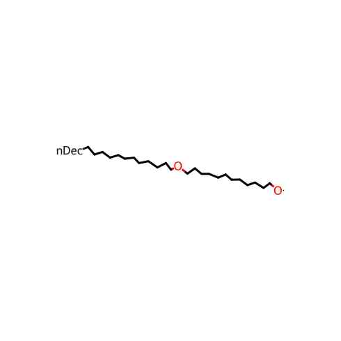 CCCCCCCCCCCCCCCCCCCCCCOCCCCCCCCCCCC[O]